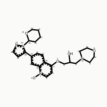 [O-][n+]1ccc(OCC(O)CN2CCOCC2)c2ccc(-c3ccnn3C3CCCCO3)cc21